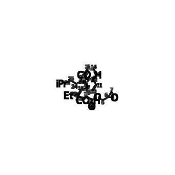 C=C(C(=O)OCC1CO1)C(C=Cc1ccccc1)(C=C(CC)C(=O)O)C=C(CCC(C)C)C(=O)O